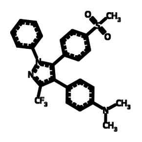 CN(C)c1ccc(-c2c(C(F)(F)F)nn(-c3ccccc3)c2-c2ccc(S(C)(=O)=O)cc2)cc1